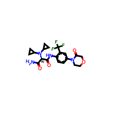 NC(=O)[C@H](C(=O)Nc1ccc(N2CCOCC2=O)cc1C(F)(F)F)N(C1CC1)C1CC1